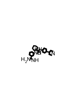 N=C(N)c1cccc(NC2(C(=O)Nc3ccc(-c4ccncc4)cc3)CCCCC2)c1